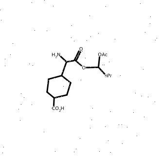 CCCC(OC(C)=O)OC(=O)C(N)C1CCC(C(=O)O)CC1